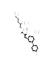 Cl.NCCCC(N)CNC(=O)c1cc2cc(-c3ccc(F)cc3)ccc2[nH]1